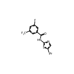 CC(C)c1cnc(NC(=O)c2cc(F)cc(C(F)(F)F)c2)s1